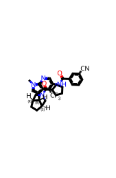 Cn1cc([C@@H]2[C@@H]3CC[C@H]2CN(C(=O)C2CCCC2)C3)c2c(C(F)(F)F)c(NC(=O)c3cccc(C#N)c3)cnc21